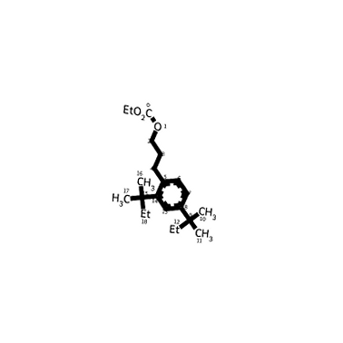 CCOC(=O)OCCCc1ccc(C(C)(C)CC)cc1C(C)(C)CC